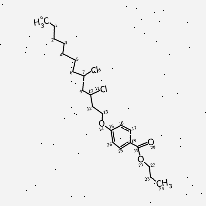 CCCCCCCC(Cl)CC(Cl)CCOc1ccc(C(=O)OCCC)cc1